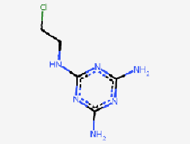 Nc1nc(N)nc(NCCCl)n1